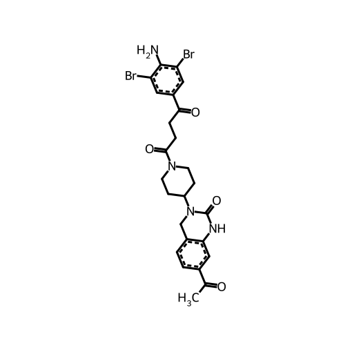 CC(=O)c1ccc2c(c1)NC(=O)N(C1CCN(C(=O)CCC(=O)c3cc(Br)c(N)c(Br)c3)CC1)C2